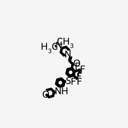 CN(C)C1CCN(C=CC(=O)c2ccc(Sc3cccc(NC4CCOCC4)c3)c(C(F)(F)F)c2C(F)(F)F)CC1